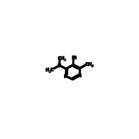 CCc1c(C)ncnc1N(C)C